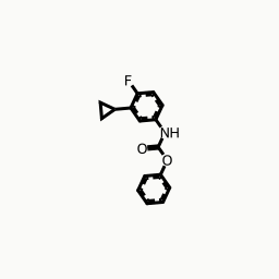 O=C(Nc1ccc(F)c(C2CC2)c1)Oc1ccccc1